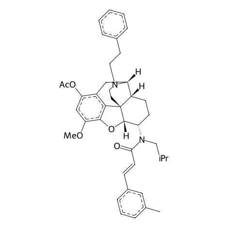 COc1cc(OC(C)=O)c2c3c1O[C@H]1[C@@H](N(CC(C)C)C(=O)C=Cc4cccc(C)c4)CC[C@H]4[C@@H](C2)N(CCc2ccccc2)CC[C@@]341